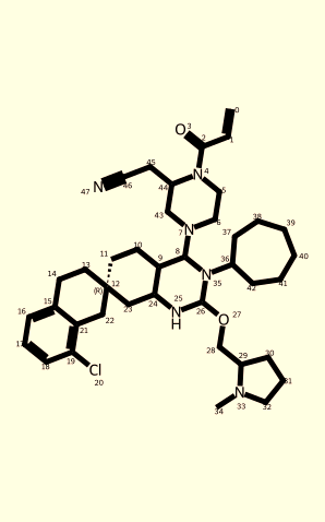 C=CC(=O)N1CCN(C2C3CC[C@]4(CCc5cccc(Cl)c5C4)CC3NC(OCC3CCCN3C)N2C2CCCCCC2)CC1CC#N